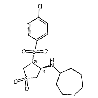 O=S1(=O)C[C@H](NC2CCCCCC2)[C@@H](S(=O)(=O)c2ccc(Cl)cc2)C1